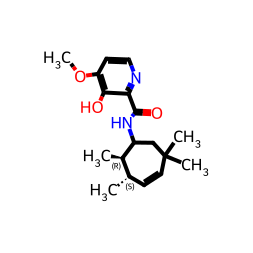 COc1ccnc(C(=O)NC2CC(C)(C)C=C[C@H](C)[C@H]2C)c1O